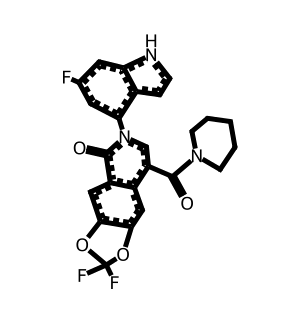 O=C(c1cn(-c2cc(F)cc3[nH]ccc23)c(=O)c2cc3c(cc12)OC(F)(F)O3)N1CCCCC1